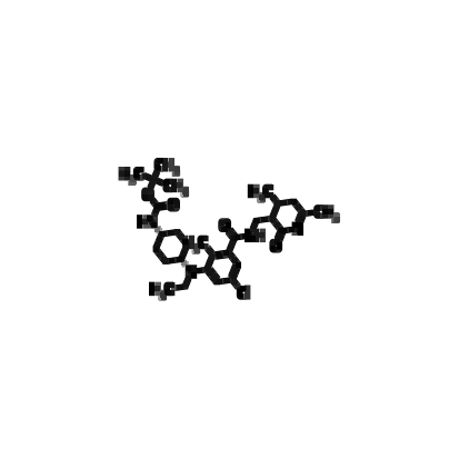 CCN(c1cc(Cl)cc(C(=O)NCC2C(=O)N=C(C)CC2C)c1C)[C@H]1CC[C@@H](NC(=O)OC(C)(C)C)CC1